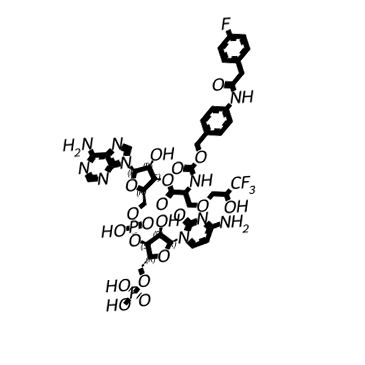 Nc1ccn([C@@H]2O[C@H](COP(=O)(O)O)[C@@H](OP(=O)(O)OC[C@H]3O[C@@H](n4cnc5c(N)ncnc54)[C@H](O)[C@@H]3OC(=O)C(COCC(O)C(F)(F)F)NC(=O)OCc3ccc(NC(=O)Cc4ccc(F)cc4)cc3)[C@H]2O)c(=O)n1